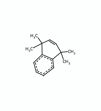 CC1(C)C=CC(C)(C)c2cc[c]cc21